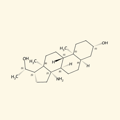 C[C@H](O)[C@H]1CC[C@]2(N)[C@@H]3CC[C@@H]4C[C@@H](O)CC[C@]4(C)[C@H]3CC[C@]12C